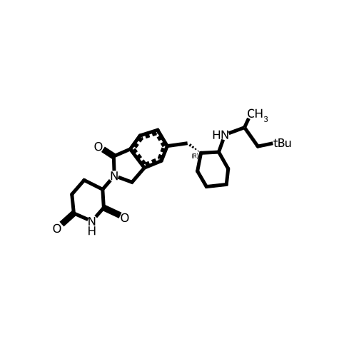 CC(CC(C)(C)C)NC1CCCC[C@@H]1Cc1ccc2c(c1)CN(C1CCC(=O)NC1=O)C2=O